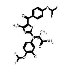 C[C@H](C(N)=O)N(c1ccc(OC(F)F)c(Cl)c1)c1nc(N)c(C(=O)c2ccc(OC(F)F)cc2)s1